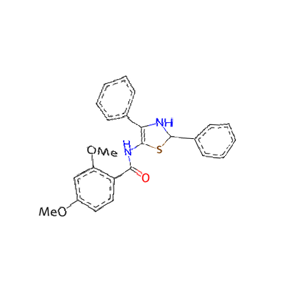 COc1ccc(C(=O)NC2=C(c3ccccc3)NC(c3ccccc3)S2)c(OC)c1